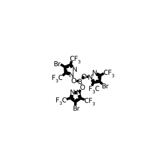 FC(F)(F)c1nn(OB(On2nc(C(F)(F)F)c(Br)c2C(F)(F)F)On2nc(C(F)(F)F)c(Br)c2C(F)(F)F)c(C(F)(F)F)c1Br